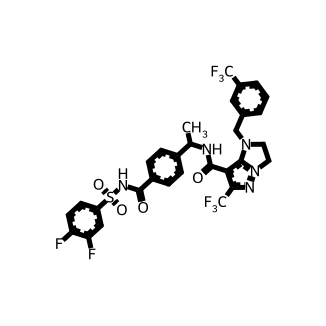 CC(NC(=O)c1c(C(F)(F)F)nn2c1N(Cc1cccc(C(F)(F)F)c1)CC2)c1ccc(C(=O)NS(=O)(=O)c2ccc(F)c(F)c2)cc1